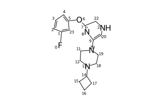 Fc1cccc(OC2=NC(N3CCN(C4CCC4)CC3)=[C]NC2)c1